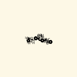 [2H]C([2H])([2H])Oc1cc(C(=O)NS(=O)(=O)c2ccccc2C)ccc1Cc1cn(C)c2ccc(NC(=O)OC3([2H])C([2H])([2H])CCC3([2H])[2H])cc12